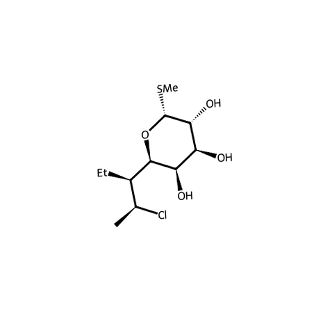 CC[C@@H]([C@H]1O[C@H](SC)[C@H](O)[C@@H](O)[C@H]1O)[C@H](C)Cl